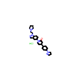 Cl.O=c1cc(-c2ccc(-n3cccn3)cc2)ccn1-c1ccc2c(cnn2CCN2CCCC2)c1